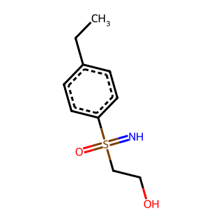 CCc1ccc(S(=N)(=O)CCO)cc1